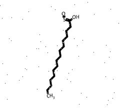 CCCCCCCCCCCCCCCC(O)=S=O